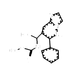 CC(NC(=O)OC(C)(C)C)c1cc2nccn2nc1-c1ccccc1